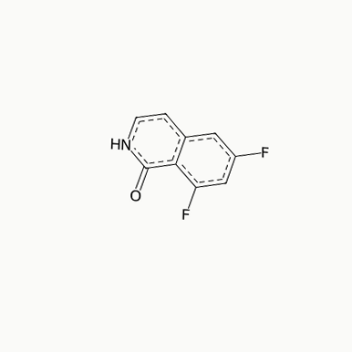 O=c1[nH]ccc2cc(F)cc(F)c12